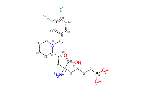 NC(CCCCB(O)O)(CCC1CCCCN1Cc1ccc(F)c(F)c1)C(=O)O